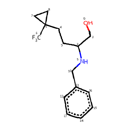 OCC(CCC1(C(F)(F)F)CC1)NCc1ccccc1